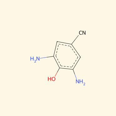 N#Cc1cc(N)c(O)c(N)c1